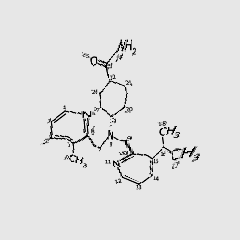 Cc1cccnc1CN(Cc1ncccc1C(C)C)[C@H]1CC[C@H](C(N)=O)CC1